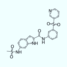 CS(=O)(=O)Nc1ccc2cc(C(=O)Nc3cccc(S(=O)(=O)c4cccnc4)c3)[nH]c2c1